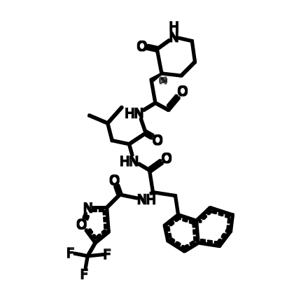 CC(C)CC(NC(=O)C(Cc1cccc2ccccc12)NC(=O)c1cc(C(F)(F)F)on1)C(=O)NC(C=O)C[C@@H]1CCCNC1=O